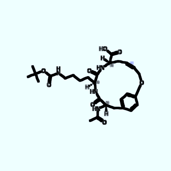 CC(=O)N[C@H]1Cc2ccc(cc2)OC/C=C\C[C@@H](C(=O)O)NC(=O)[C@H](CCCCNC(=O)OC(C)(C)C)NC1=O